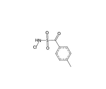 Cc1ccc(C(=O)S(=O)(=O)NCl)cc1